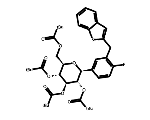 CC(C)(C)C(=O)OC[C@H]1O[C@@H](c2ccc(F)c(Cc3cc4ccccc4s3)c2)[C@H](OC(=O)C(C)(C)C)[C@@H](OC(=O)C(C)(C)C)[C@@H]1OC(=O)C(C)(C)C